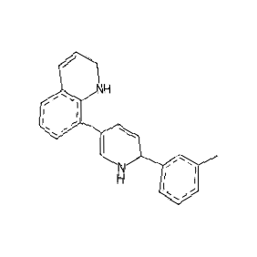 Cc1cccc(C2C=CC(c3cccc4c3NCC=C4)=CN2)c1